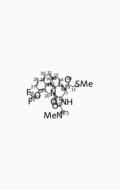 CN[C@@H](C)C(=O)NC1CN(C(=O)CSC)c2ccccc2N(Cc2c(OC(F)F)ccc3ccccc23)C1=O